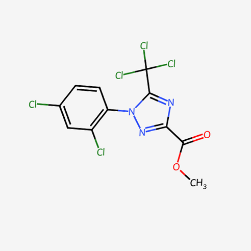 COC(=O)c1nc(C(Cl)(Cl)Cl)n(-c2ccc(Cl)cc2Cl)n1